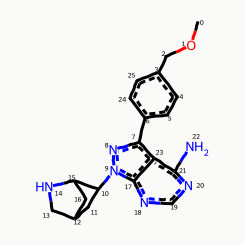 COCc1ccc(-c2nn(C3CC4CNC3C4)c3ncnc(N)c23)cc1